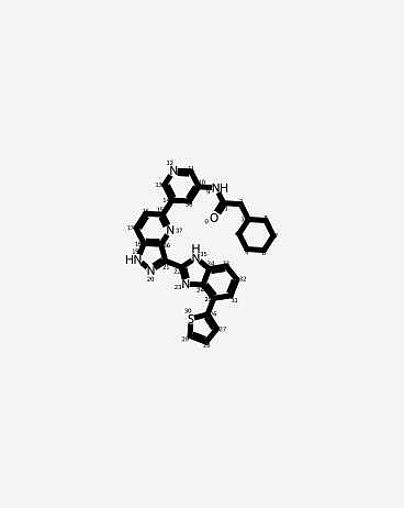 O=C(CC1CCCCC1)Nc1cncc(-c2ccc3[nH]nc(-c4nc5c(-c6cccs6)cccc5[nH]4)c3n2)c1